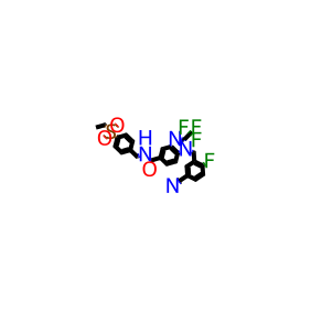 CCS(=O)(=O)c1ccc(CNC(=O)c2ccc3c(c2)nc(C(F)(F)F)n3Cc2cc(C#N)ccc2F)cc1